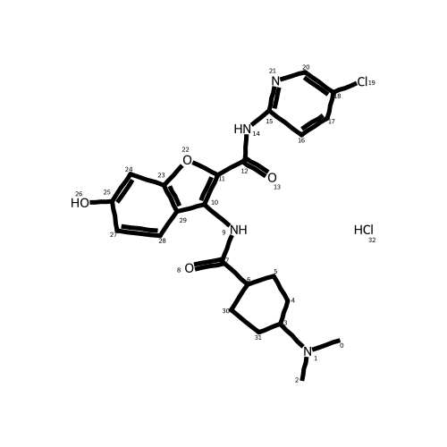 CN(C)C1CCC(C(=O)Nc2c(C(=O)Nc3ccc(Cl)cn3)oc3cc(O)ccc23)CC1.Cl